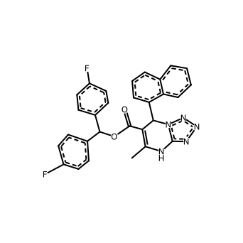 CC1=C(C(=O)OC(c2ccc(F)cc2)c2ccc(F)cc2)C(c2cccc3ccccc23)n2nnnc2N1